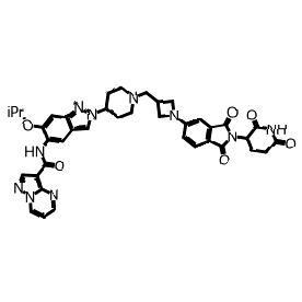 CC(C)Oc1cc2nn(C3CCN(CC4CN(c5ccc6c(c5)C(=O)N(C5CCC(=O)NC5=O)C6=O)C4)CC3)cc2cc1NC(=O)c1cnn2cccnc12